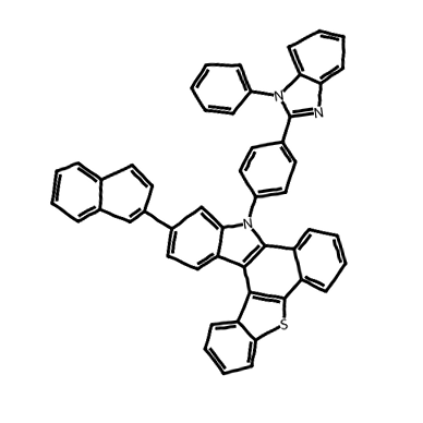 c1ccc(-n2c(-c3ccc(-n4c5cc(-c6ccc7ccccc7c6)ccc5c5c6c7ccccc7sc6c6ccccc6c54)cc3)nc3ccccc32)cc1